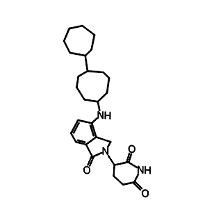 O=C1CCC(N2Cc3c(NC4CCCC(C5CCCCCC5)CCC4)cccc3C2=O)C(=O)N1